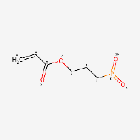 C=CC(=O)OCCCP(=O)=O